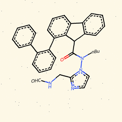 CCCCN(C(=O)C1c2ccccc2-c2cccc(-c3ccccc3-c3ccccc3)c21)n1ccnc1CNC=O